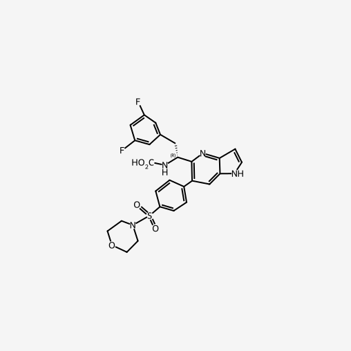 O=C(O)N[C@H](Cc1cc(F)cc(F)c1)c1nc2cc[nH]c2cc1-c1ccc(S(=O)(=O)N2CCOCC2)cc1